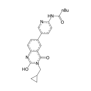 CCCCC(=O)Nc1ccc(-c2ccc3nc(O)n(CC4CC4)c(=O)c3c2)cn1